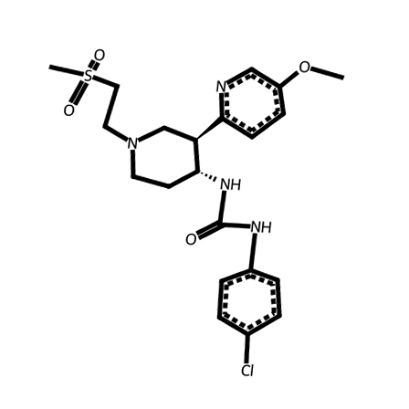 COc1ccc([C@@H]2CN(CCS(C)(=O)=O)CC[C@H]2NC(=O)Nc2ccc(Cl)cc2)nc1